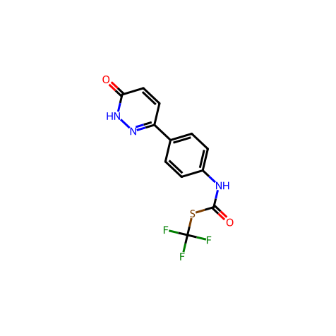 O=C(Nc1ccc(-c2ccc(=O)[nH]n2)cc1)SC(F)(F)F